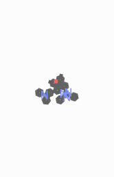 Cc1ccc(C2(c3ccc(C)cc3)c3cc(-c4ccc5c(c4)c4ccccc4n5-c4ccccc4)ccc3-c3c(-c4nc(-c5ccccc5)nc(-c5ccccc5)n4)cccc32)cc1